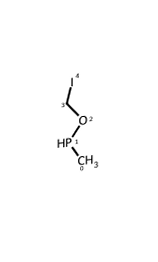 CPOCI